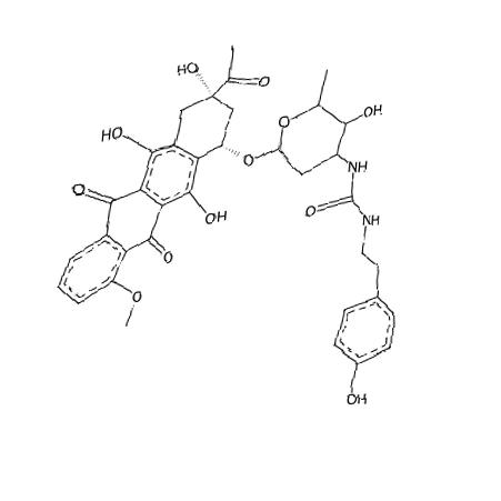 COc1cccc2c1C(=O)c1c(O)c3c(c(O)c1C2=O)C[C@@](O)(C(C)=O)C[C@@H]3OC1CC(NC(=O)NCCc2ccc(O)cc2)C(O)C(C)O1